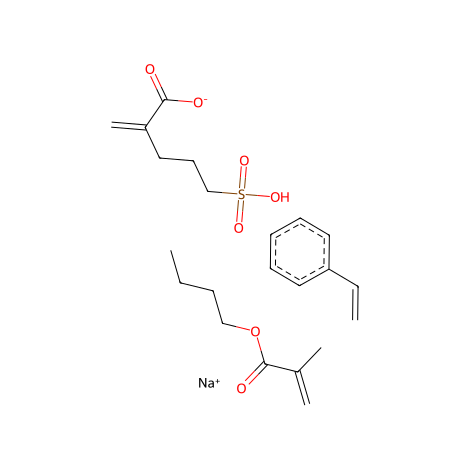 C=C(C)C(=O)OCCCC.C=C(CCCS(=O)(=O)O)C(=O)[O-].C=Cc1ccccc1.[Na+]